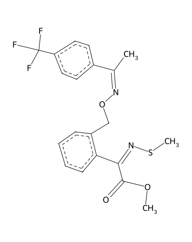 COC(=O)C(=NSC)c1ccccc1CON=C(C)c1ccc(C(F)(F)F)cc1